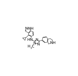 Cn1nc(-c2ccc3c(c2)CNCC3)nc1Nc1ccc2[nH]ncc2c1C1CC1